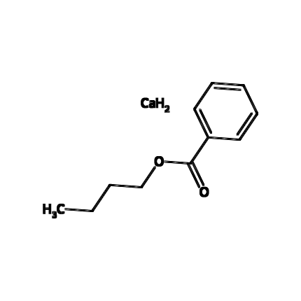 CCCCOC(=O)c1ccccc1.[CaH2]